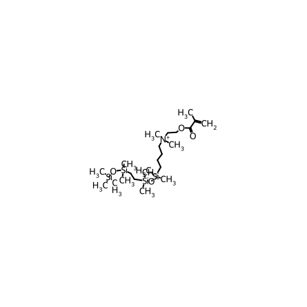 C=C(C)C(=O)OCC[N+](C)(C)CCCC[Si](C)(C)O[Si](C)(C)CC[Si](C)(C)O[Si](C)(C)C